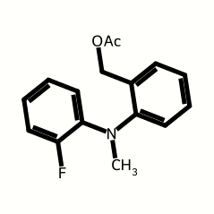 CC(=O)OCc1ccccc1N(C)c1ccccc1F